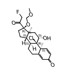 COCO[C@]1(C(=O)CF)CC[C@H]2[C@@H]3CCC4=CC(=O)C=C[C@]4(C)[C@@]3(Cl)[C@@H](O)C[C@@]21C